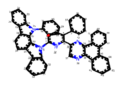 c1ccc(-c2ccc(-n3c4ccccc4c4ccc5c6ccccc6n(-c6ccccc6)c5c43)nc2-c2cnc3c4ccccc4c4ccccc4c3n2)cc1